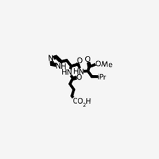 COC(=O)C(CC(C)C)NC(=O)C(Cc1cnc[nH]1)NC(=O)CCCC(=O)O